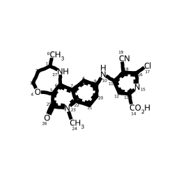 CC1CCOc2c(c3cc(Nc4cc(C(=O)O)nc(Cl)c4C#N)ccc3n(C)c2=O)N1